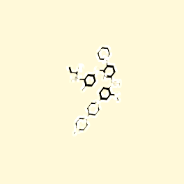 C=CC(=O)Nc1cc(Oc2nc(Nc3ccc(N4CCC(N5CCN(C)CC5)CC4)cc3OC)ccc2N2CCCCC2)ccc1C